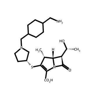 C[C@@H](O)[C@H]1C(=O)N2C(C(=O)O)=C(S[C@@H]3CCN(CC4CCC(CN)CC4)C3)[C@H](C)[C@H]12